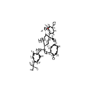 CC(C)(C)C[C@H]1NC(C(=O)Nc2ccc(C(C)(C)C)cc2)[C@@H](c2cccc(Cl)c2F)C1(C#N)c1ccc(Cl)cc1F